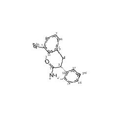 NC(=O)C(Cc1cccc(Br)c1)c1ccccc1